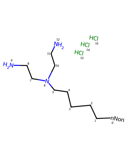 CCCCCCCCCCCCCCN(CCN)CCN.Cl.Cl.Cl